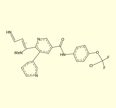 CN/C(=C\C=N)c1ncc(C(=O)Nc2ccc(OC(F)(F)Cl)cc2)cc1-c1cccnc1